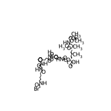 CC(=O)O[C@@H](C)/C=C\C(=O)N[C@@H]1C[C@H](C)[C@H](C/C=C(C)/C=C/[C@H]2O[C@H](CC(=O)NCc3ccc(S(=O)(=O)NC(=O)CCc4ccccc4NC(=O)CNC(=O)CCCCCNC(=O)CBr)cc3)C[C@@]3(CO3)[C@@H]2O)O[C@@H]1C